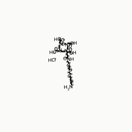 Cl.NCCOCCOCCOCCOCCNC(=O)CCC(C(=O)O)N1CCN(CC(=O)O)CCN(CC(=O)O)CCN(CC(=O)O)CC1